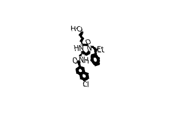 CC[C@H](CN1CC[C@@H](CNC(=O)c2ccc3cc(Cl)ccc3c2)N[C@@H](CCCCO)C1=O)c1ccccc1